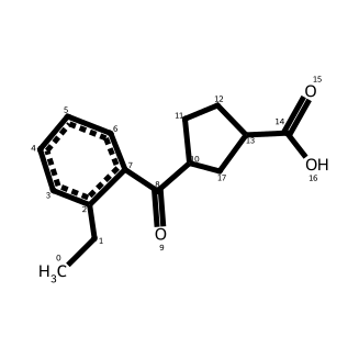 CCc1ccccc1C(=O)C1CCC(C(=O)O)C1